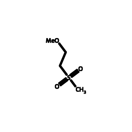 [CH2]OCCS(C)(=O)=O